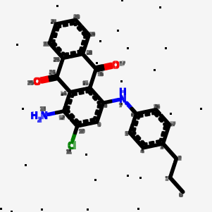 CCCc1ccc(Nc2cc(Cl)c(N)c3c2C(=O)c2ccccc2C3=O)cc1